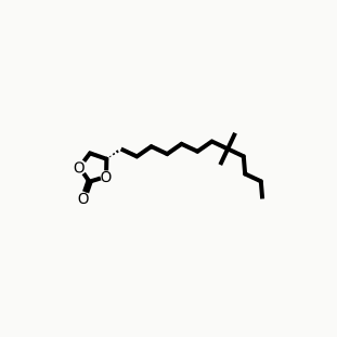 CCCCC(C)(C)CCCCCCC[C@H]1COC(=O)O1